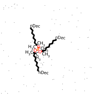 CCCCCCCCCCCCCCCCCC(C)(C)OP(OC(C)(C)CCCCCCCCCCCCCCCCC)OC(C)(C)CCCCCCCCCCCCCCCCC